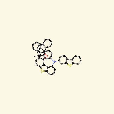 CC1(C)c2ccccc2-c2ccc(N(c3ccc4c(c3)sc3ccccc34)c3cccc4sc5ccc6c7ccc8ccccc8c7oc6c5c34)cc21